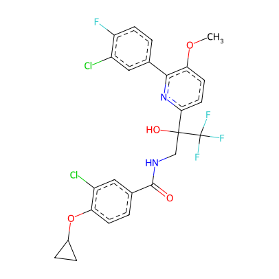 COc1ccc(C(O)(CNC(=O)c2ccc(OC3CC3)c(Cl)c2)C(F)(F)F)nc1-c1ccc(F)c(Cl)c1